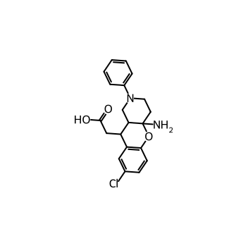 NC12CCN(c3ccccc3)CC1C(CC(=O)O)c1cc(Cl)ccc1O2